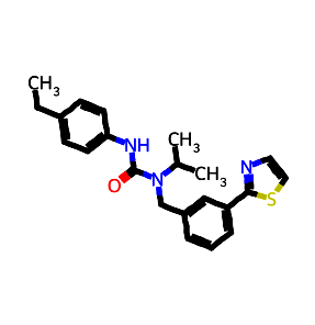 CCc1ccc(NC(=O)N(Cc2cccc(-c3nccs3)c2)C(C)C)cc1